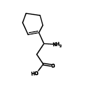 NC(CC(=O)O)C1=CCCCC1